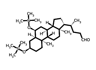 C[C@H](CCC=O)[C@H]1CC[C@H]2[C@@H]3C[C@H](O[Si](C)(C)C)[C@@H]4C[C@H](O[Si](C)(C)C)CC[C@]4(C)[C@H]3CC[C@]12C